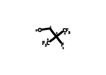 [O]CC(F)(C(F)(F)F)C(F)(F)F